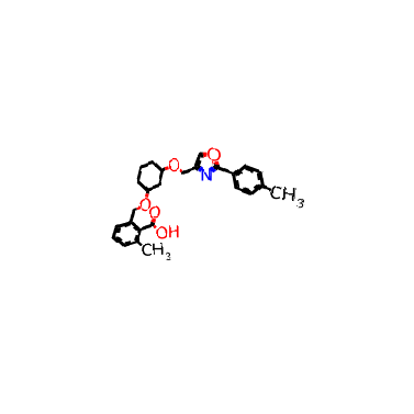 Cc1ccc(-c2nc(COC3CCCC(OCc4cccc(C)c4C(=O)O)C3)co2)cc1